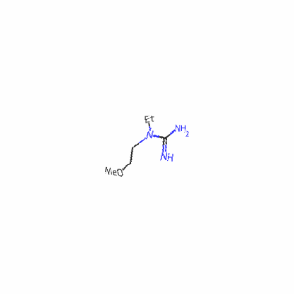 CCN(CCOC)C(=N)N